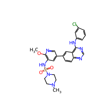 COc1ncc(-c2ccc3ncnc(Nc4cccc(Cl)c4)c3c2)cc1NS(=O)(=O)N1CCN(C)CC1